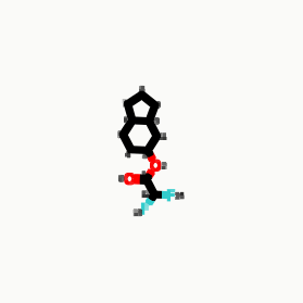 O=C(OC1CCC2CCCC2C1)C(F)F